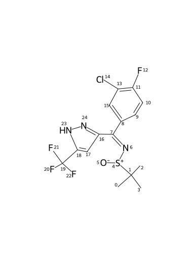 CC(C)(C)[S+]([O-])N=C(c1ccc(F)c(Cl)c1)c1cc(C(F)(F)F)[nH]n1